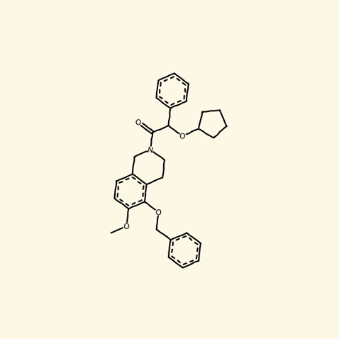 COc1ccc2c(c1OCc1ccccc1)CCN(C(=O)C(OC1CCCC1)c1ccccc1)C2